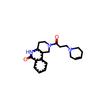 O=C(CCN1CC=CCC1)N1CCc2[nH]c(=O)c3ccccc3c2C1